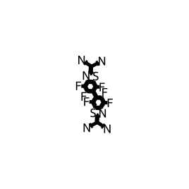 N#CC(C#N)=c1nc2c(F)c(F)/c(=c3/c(F)c(F)c4nc(=C(C#N)C#N)sc4c3F)c(F)c2s1